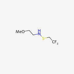 COCCNSCC(F)(F)F